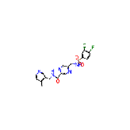 Cc1ccncc1CNC(=O)c1cnc(CNS(=O)(=O)c2ccc(F)c(Cl)c2)cn1